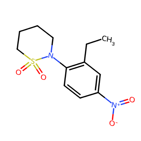 CCc1cc([N+](=O)[O-])ccc1N1CCCCS1(=O)=O